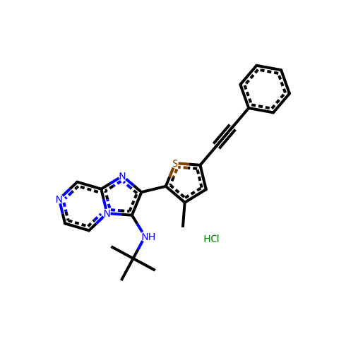 Cc1cc(C#Cc2ccccc2)sc1-c1nc2cnccn2c1NC(C)(C)C.Cl